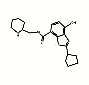 O=C(NCC1CCCCN1)c1ccc(O)c2nc(C3CCCC3)[nH]c12